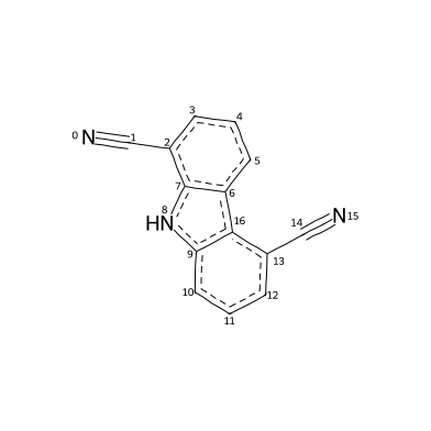 N#Cc1cccc2c1[nH]c1cccc(C#N)c12